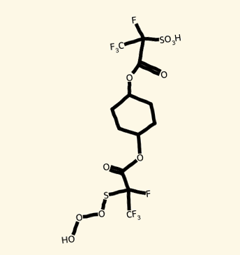 O=C(OC1CCC(OC(=O)C(F)(C(F)(F)F)S(=O)(=O)O)CC1)C(F)(SOOO)C(F)(F)F